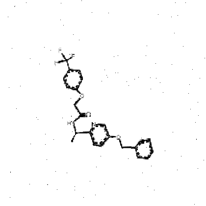 C[C@@H](NC(=O)COc1ccc(C(F)(F)F)cc1)c1ccc(OCc2ccccc2)cn1